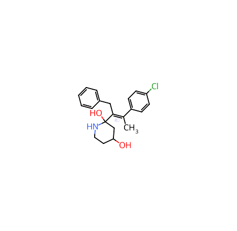 C/C(=C(/Cc1ccccc1)C1(O)CC(O)CCN1)c1ccc(Cl)cc1